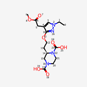 CCn1cc(CC(=O)OC)c(OCC[C@@H]2CN(C(=O)O)CCN2C(=O)O)n1